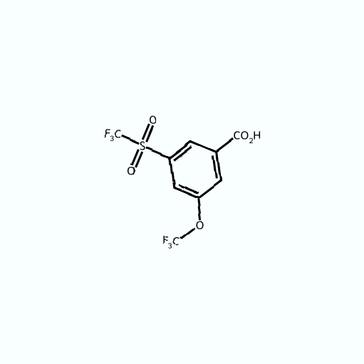 O=C(O)c1cc(OC(F)(F)F)cc(S(=O)(=O)C(F)(F)F)c1